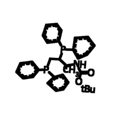 CC(NC(=O)OC(C)(C)C)C(CP(c1ccccc1)c1ccccc1)P(c1ccccc1)c1ccccc1